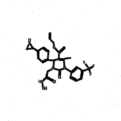 C=CCOC(=C)C1=C(C)N(c2cccc(C(F)(F)F)c2)C(=O)N(CC(=O)NO)C1c1ccc(C2CN2)cc1